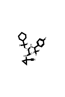 N#CC1(NC(=O)[C@H](CC(F)(F)C2CCCCC2)N[C@@H](c2ccc(F)cc2)C(F)(F)F)CC1